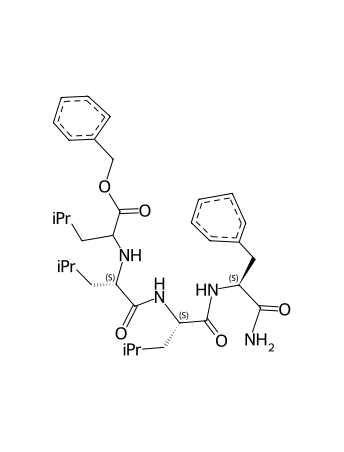 CC(C)CC(N[C@@H](CC(C)C)C(=O)N[C@@H](CC(C)C)C(=O)N[C@@H](Cc1ccccc1)C(N)=O)C(=O)OCc1ccccc1